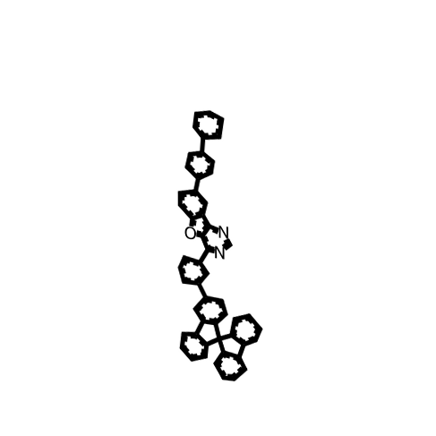 c1ccc(-c2ccc(-c3ccc4oc5c(-c6cccc(-c7ccc8c(c7)-c7ccccc7C87c8ccccc8-c8ccccc87)c6)ncnc5c4c3)cc2)cc1